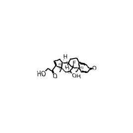 C[C@]12C=CC(=O)C=C1CC[C@H]1[C@@H]3CC=C(C(=O)CO)[C@@]3(C)C[C@H](O)C12F